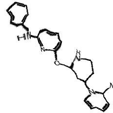 NC1C=CC=CN1C1CCNC(Oc2cccc(Nc3ccccc3)n2)C1